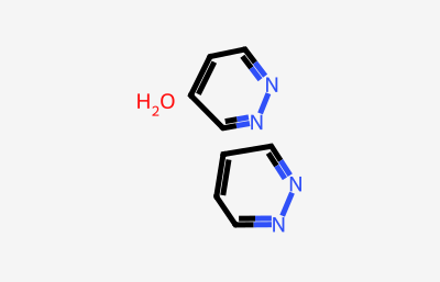 O.c1ccnnc1.c1ccnnc1